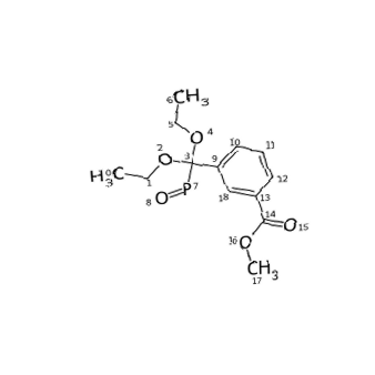 CCOC(OCC)(P=O)c1cccc(C(=O)OC)c1